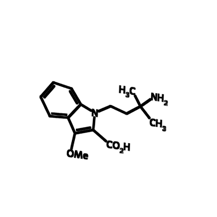 COc1c(C(=O)O)n(CCC(C)(C)N)c2ccccc12